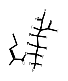 CCC=C(C)C(=O)OC(F)(C(F)(F)F)C(F)(F)C(F)(F)C(F)(C(F)(F)F)C(F)(F)F